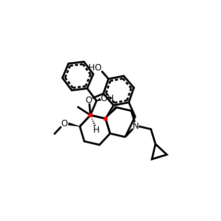 CO[C@]12CCC3(CC1(C)[C@H](O)c1ccccc1)C1Cc4ccc(O)c5c4[C@@]3(CCN1CC1CC1)[C@@H]2O5